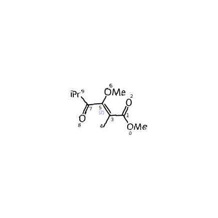 COC(=O)/C(C)=C(\OC)C(=O)C(C)C